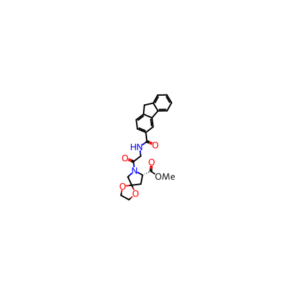 COC(=O)[C@@H]1CC2(CN1C(=O)CNC(=O)c1ccc3c(c1)-c1ccccc1C3)OCCO2